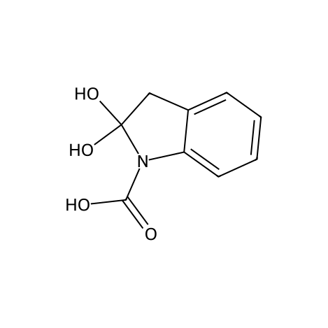 O=C(O)N1c2ccccc2CC1(O)O